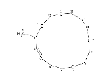 CC1/C=[C]\CCCCCCCCCCCC1